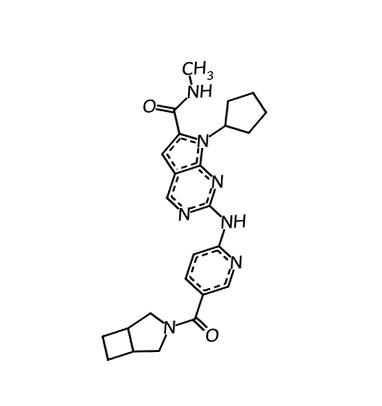 CNC(=O)c1cc2cnc(Nc3ccc(C(=O)N4CC5CCC5C4)cn3)nc2n1C1CCCC1